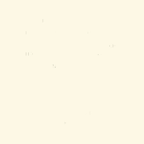 COC(=O)c1cc(-c2ccc(F)c(Cl)c2)nc(C(O)C(F)(F)F)c1